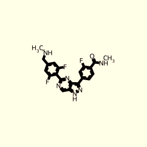 CNCc1cc(F)c(-c2ncc3[nH]nc(-c4ccc(C(=O)NC)c(F)c4)c3n2)c(F)c1